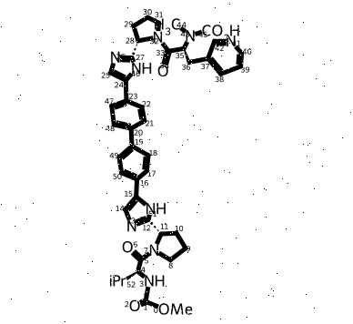 COC(=O)N[C@H](C(=O)N1CCC[C@H]1c1ncc(-c2ccc(-c3ccc(-c4cnc([C@@H]5CCCN5C(=O)[C@H](Cc5cccnc5)N(C)C(=O)O)[nH]4)cc3)cc2)[nH]1)C(C)C